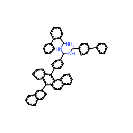 NC(NC(NCc1ccc(-c2ccccc2)cc1)c1ccc(-c2c3ccccc3c(-c3ccc4ccccc4c3)c3ccc4ccccc4c23)cc1)c1ccccc1-c1ccccc1